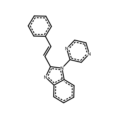 C(=C\c1nc2ccccc2n1-c1cnccn1)/c1ccccc1